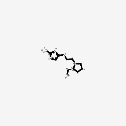 Cc1ncc(SCCN2CCC[C@H]2CO)s1